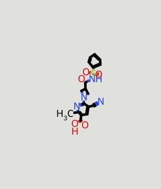 Cc1nc(N2CC(C(=O)NS(=O)(=O)c3ccccc3)C2)c(C#N)cc1C(=O)O